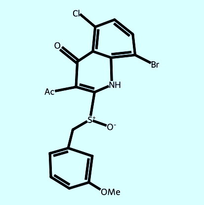 COc1cccc(C[S+]([O-])c2[nH]c3c(Br)ccc(Cl)c3c(=O)c2C(C)=O)c1